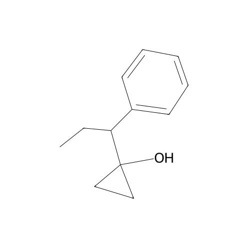 CCC(c1ccccc1)C1(O)CC1